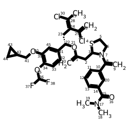 C=C(CC1SCCN1C(=C)c1cccc(C(=O)N(C)C)c1)O[C@@H](C/C(C(=C)Cl)=C(/C)Cl)c1ccc(OC(F)F)c(OCC2CC2)c1